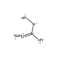 CCC[N]C(=O)CCC.[NaH]